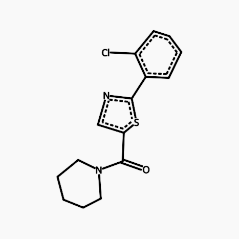 O=C(c1cnc(-c2ccccc2Cl)s1)N1CCCCC1